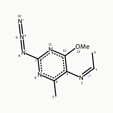 C/C=N\c1c(C)nc(N=[N+]=[N-])nc1OC